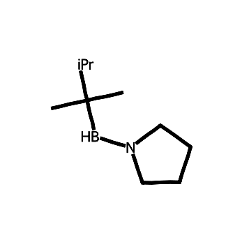 CC(C)C(C)(C)BN1CCCC1